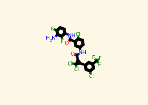 Nc1c(F)ccc(NC(=O)c2cc(NC(=O)C3C(c4cc(Cl)cc(C(F)(F)F)c4)C3(Cl)Cl)ccc2Cl)c1F